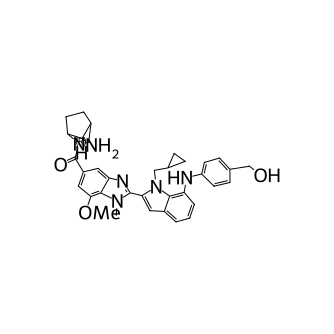 COc1cc(C(=O)N2CC3CCC2[C@@H]3N)cc2nc(-c3cc4cccc(Nc5ccc(CO)cc5)c4n3CC3CC3)n(C)c12